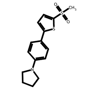 CS(=O)(=O)c1ccc(-c2ccc(N3CCCC3)cc2)s1